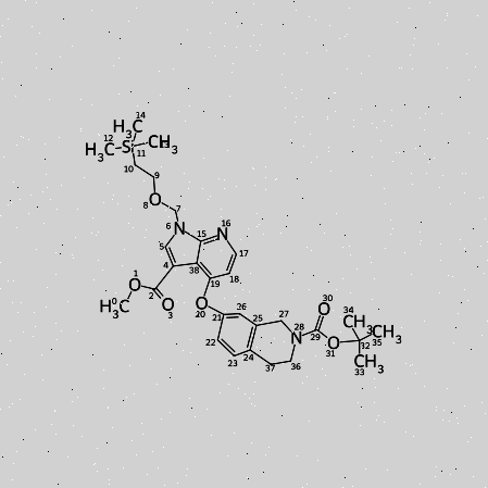 COC(=O)c1cn(COCC[Si](C)(C)C)c2nccc(Oc3ccc4c(c3)CN(C(=O)OC(C)(C)C)CC4)c12